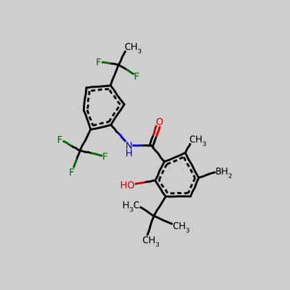 Bc1cc(C(C)(C)C)c(O)c(C(=O)Nc2cc(C(C)(F)F)ccc2C(F)(F)F)c1C